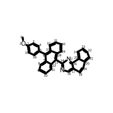 COc1ccc(-c2c3ccccc3c(-c3ncc4ccc5ccccc5c4n3)c3ccccc23)cc1